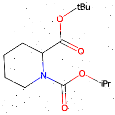 CC(C)OC(=O)N1CCCCC1C(=O)OC(C)(C)C